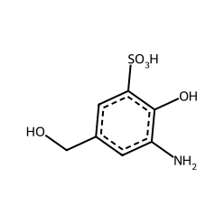 Nc1cc(CO)cc(S(=O)(=O)O)c1O